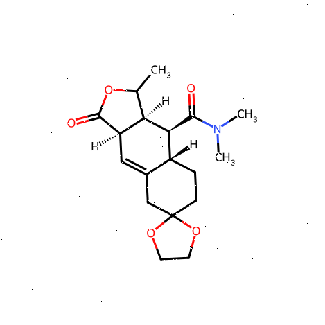 CC1OC(=O)[C@@H]2C=C3CC4(CC[C@H]3[C@H](C(=O)N(C)C)[C@H]12)OCCO4